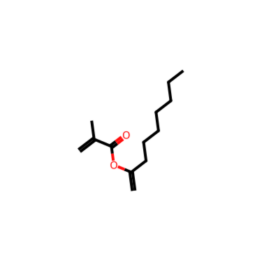 C=C(CCCCCCC)OC(=O)C(=C)C